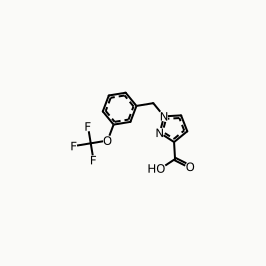 O=C(O)c1ccn(Cc2cccc(OC(F)(F)F)c2)n1